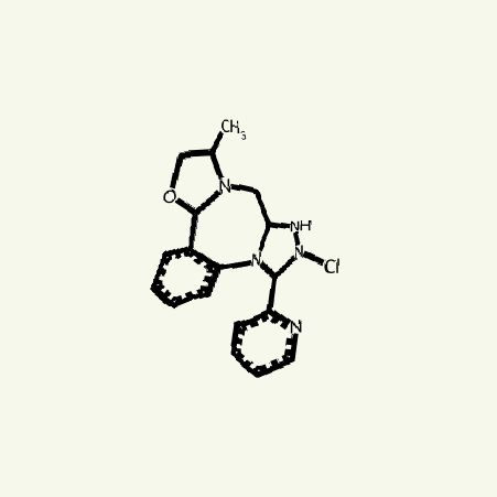 CC1COC2c3ccccc3N3C(CN12)NN(Cl)C3c1ccccn1